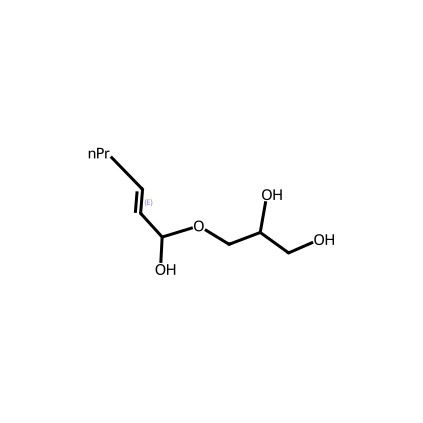 CCC/C=C/C(O)OCC(O)CO